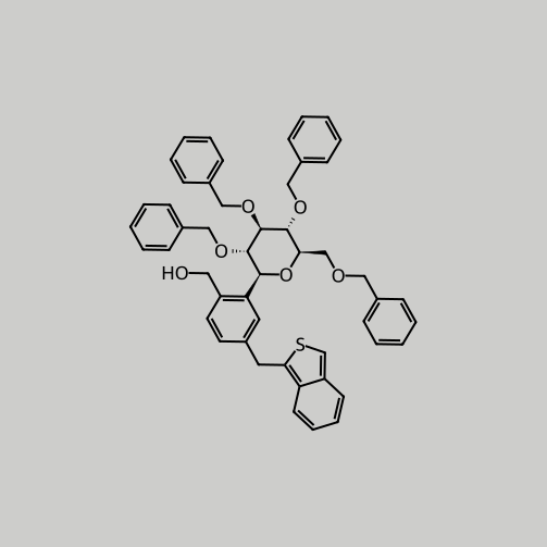 OCc1ccc(Cc2scc3ccccc23)cc1[C@@H]1O[C@H](COCc2ccccc2)[C@@H](OCc2ccccc2)[C@H](OCc2ccccc2)[C@H]1OCc1ccccc1